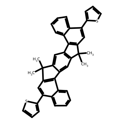 CC1(C)c2cc3c(cc2-c2c1cc(-c1cccs1)c1ccccc21)C(C)(C)c1cc(-c2cccs2)c2ccccc2c1-3